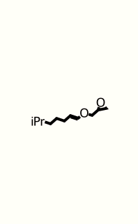 CC(C)CCCC=COCC1CO1